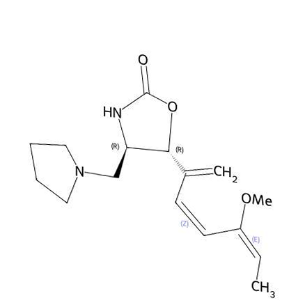 C=C(/C=C\C(=C/C)OC)[C@H]1OC(=O)N[C@@H]1CN1CCCC1